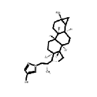 CC[C@]12CC[C@@H]3[C@H]4CC[C@]5(O)CC5[C@H]4CC[C@H]3[C@@H]1CC[C@@H]2[C@H](C)Cn1cc(C#N)cn1